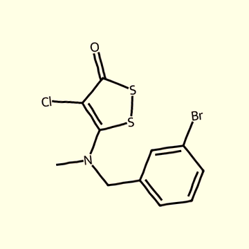 CN(Cc1cccc(Br)c1)c1ssc(=O)c1Cl